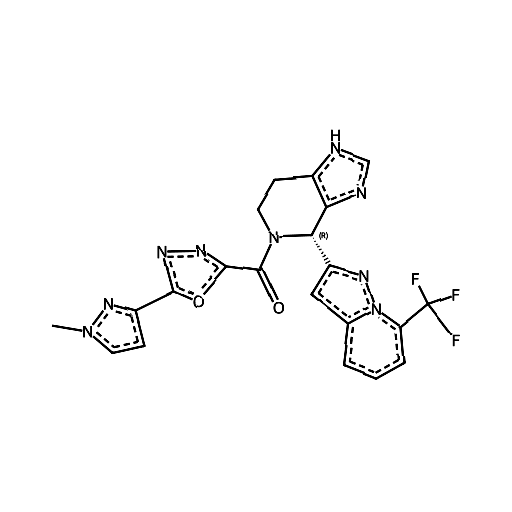 Cn1ccc(-c2nnc(C(=O)N3CCc4[nH]cnc4[C@@H]3c3cc4cccc(C(F)(F)F)n4n3)o2)n1